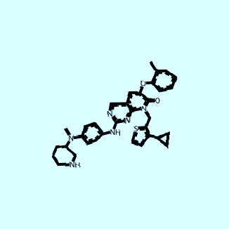 Cc1ccccc1Oc1cc2cnc(Nc3ccc(N(C)C4CCCNC4)cc3)nc2n(Cc2sccc2C2CC2)c1=O